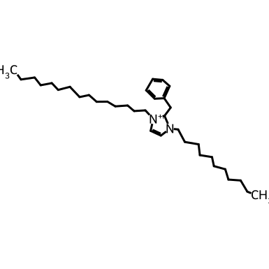 CCCCCCCCCCCCCCC[n+]1ccn(CCCCCCCCCCC)c1Cc1ccccc1